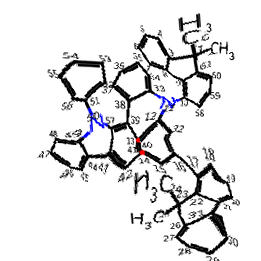 CC1(C)c2ccccc2-c2c(N(c3cccc(-c4cccc5c4C(C)(C)c4ccccc4-5)c3)c3ccccc3-c3cccc4c5ccccc5n(-c5ccccc5)c34)cccc21